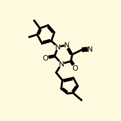 Cc1ccc(Cn2c(=O)c(C#N)nn(-c3ccc(C)c(C)c3)c2=O)cc1